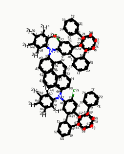 [2H]c1c([2H])c([2H])c(N(c2cc(-c3ccccc3-c3ccccc3)c(-c3ccccc3-c3ccccc3)cc2F)c2ccc3ccc4c(N(c5cc(-c6ccccc6-c6ccccc6)c(-c6ccccc6-c6ccccc6)cc5F)c5c([2H])c([2H])c([2H])c([2H])c5[2H])ccc5ccc2c3c54)c([2H])c1[2H]